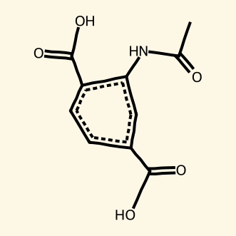 CC(=O)Nc1cc(C(=O)O)ccc1C(=O)O